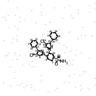 NS(=O)(=O)c1ccc(-n2cc(Cl)c(-c3ccccc3)n2)c(-n2cc(Cl)c(-c3ccccc3)n2)c1